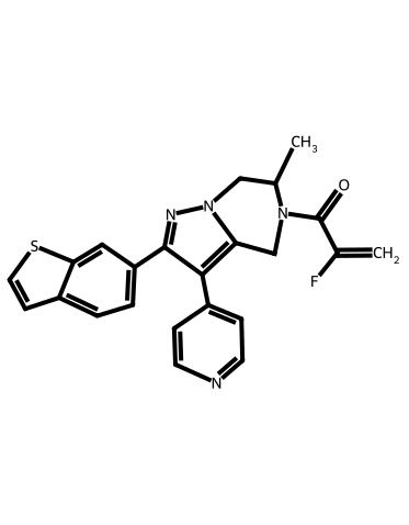 C=C(F)C(=O)N1Cc2c(-c3ccncc3)c(-c3ccc4ccsc4c3)nn2CC1C